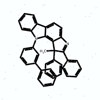 CC1(c2ccccc2)C(c2ccccc2)=Nc2ccc3c4ccccc4n(-c4cccc(-c5ccccc5)c4)c3c21